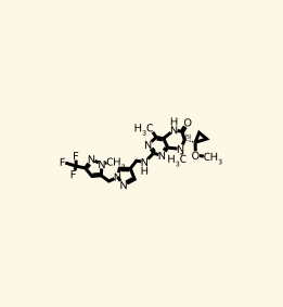 COC1([C@H]2C(=O)Nc3c(C)nc(NCc4cnn(Cc5cc(C(F)(F)F)nn5C)c4)nc3N2C)CC1